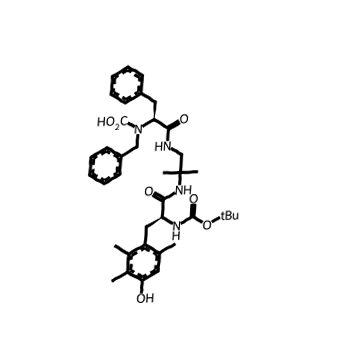 Cc1cc(O)c(C)c(C)c1C[C@H](NC(=O)OC(C)(C)C)C(=O)NC(C)(C)CNC(=O)[C@H](Cc1ccccc1)N(Cc1ccccc1)C(=O)O